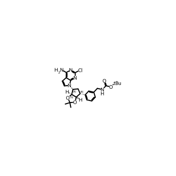 CC(C)(C)OC(=O)NCc1cccc([C@H]2C[C@@H](n3ccc4c(N)nc(Cl)nc43)[C@@H]3OC(C)(C)O[C@@H]32)c1